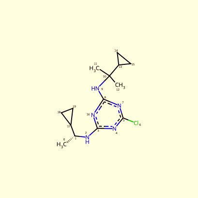 C[C@@H](Nc1nc(Cl)nc(NC(C)(C)C2CC2)n1)C1CC1